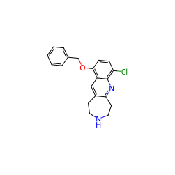 Clc1ccc(OCc2ccccc2)c2cc3c(nc12)CCNCC3